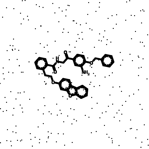 Nc1cc(C(=O)CNC(=O)c2ccccc2CCOc2ccc3c(c2)oc2ccccc23)ccc1OCc1ccccc1